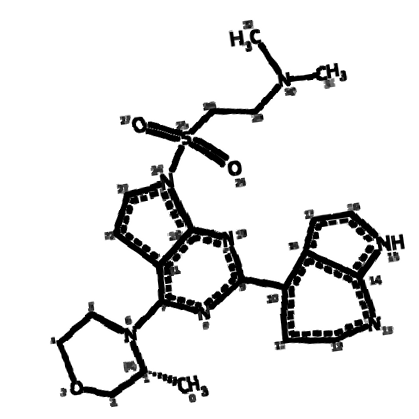 C[C@@H]1COCCN1c1nc(-c2ccnc3[nH]ccc23)nc2c1ccn2S(=O)(=O)CCN(C)C